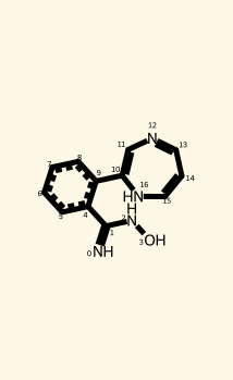 N=C(NO)c1ccccc1C1=CN=CC=CN1